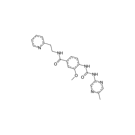 COc1cc(C(=O)NCCc2ccccn2)ccc1NC(=O)Nc1cnc(C)cn1